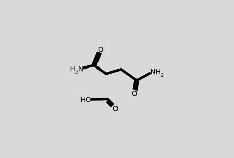 NC(=O)CCC(N)=O.O=CO